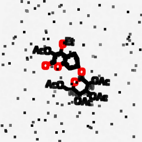 CCOc1c(OC(C)=O)c(=O)oc2cc(O[C@H]3O[C@H](COC(C)=O)[C@@H](OC(C)=O)[C@H](OC(C)=O)[C@@H]3OC(C)=O)ccc12